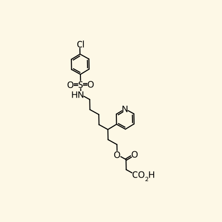 O=C(O)CC(=O)OCCC(CCCCNS(=O)(=O)c1ccc(Cl)cc1)c1cccnc1